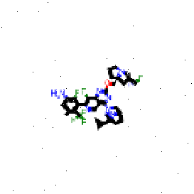 Cc1cc(N)c(F)c(-c2ncc3c(N4CC5CCC(C6CC6)(C4)N5)nc(OC[C@@]45CCCN4C/C(=C\F)C5)nc3c2F)c1C(F)(F)F